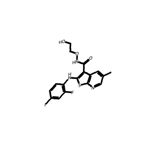 Cc1cnc2sc(Nc3ccc(I)cc3F)c(C(=O)NOCCO)c2c1